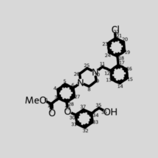 COC(=O)c1ccc(N2CCN(Cc3ccccc3-c3ccc(Cl)cc3)CC2)cc1Oc1cccc(CO)c1